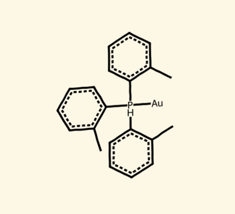 Cc1ccccc1[PH]([Au])(c1ccccc1C)c1ccccc1C